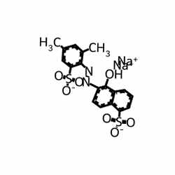 Cc1cc(C)c(N=Nc2ccc3c(S(=O)(=O)[O-])cccc3c2O)c(S(=O)(=O)[O-])c1.[Na+].[Na+]